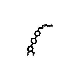 CCCCCC=CC1CCC(C2CCC(c3ccc(F)c(F)c3)CC2)CC1